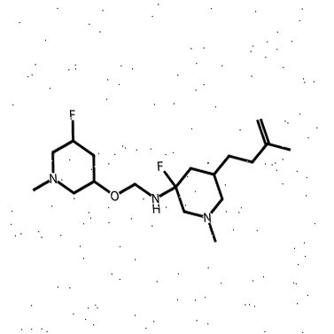 C=C(C)CCC1CN(C)CC(F)(NCOC2CC(F)CN(C)C2)C1